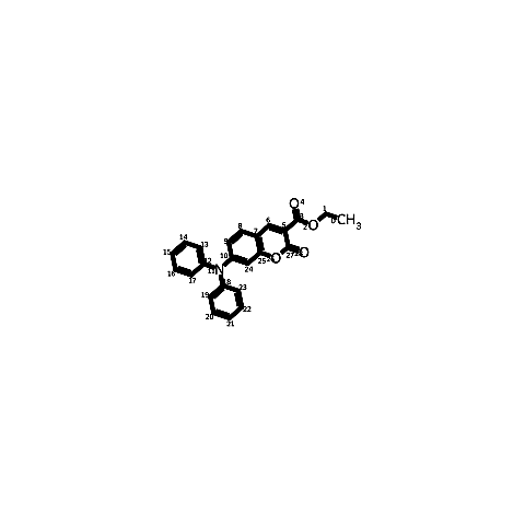 CCOC(=O)c1cc2ccc(N(c3ccccc3)c3ccccc3)cc2oc1=O